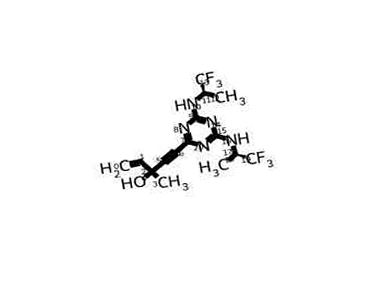 C=CC(C)(O)C#Cc1nc(N[C@H](C)C(F)(F)F)nc(N[C@H](C)C(F)(F)F)n1